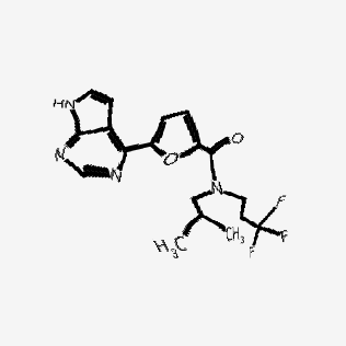 CC(C)CN(CCC(F)(F)F)C(=O)c1ccc(-c2ncnc3[nH]ccc23)o1